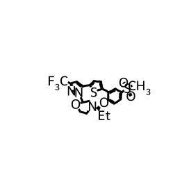 CCC(=O)N1CCOC(n2nc(C(F)(F)F)cc2-c2ccc(-c3cccc(S(C)(=O)=O)c3)s2)C1